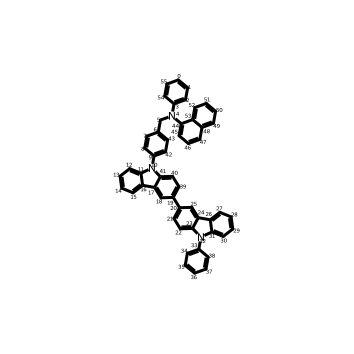 c1ccc(N(Cc2ccc(-n3c4ccccc4c4cc(-c5ccc6c(c5)c5ccccc5n6-c5ccccc5)ccc43)cc2)c2cccc3ccccc23)cc1